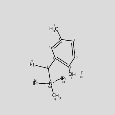 CCC(c1cc(C)ccc1O)[N+](C)(C(C)C)C(C)C.[I-]